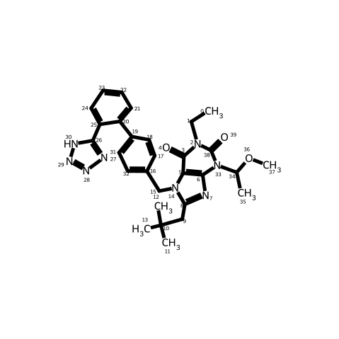 CCn1c(=O)c2c(nc(CC(C)(C)C)n2Cc2ccc(-c3ccccc3-c3nnn[nH]3)cc2)n(C(C)OC)c1=O